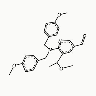 COc1ccc(CN(Cc2ccc(OC)cc2)c2ncc(C=O)cc2C(C)OC)cc1